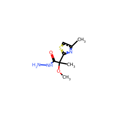 COC(C)(C(=O)NN)c1nc(C)cs1